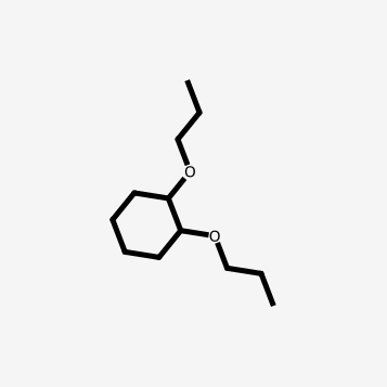 CCCOC1CCCCC1OCCC